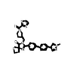 Cn1cc(-c2ccc(-c3ccc(C4=NC5(CCOC5)C(=O)N4CC4CCN(C(=O)c5nccs5)C4)cc3)cc2)cn1